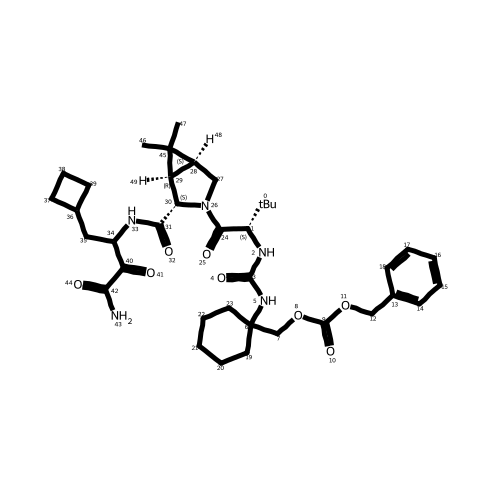 CC(C)(C)[C@H](NC(=O)NC1(COC(=O)OCc2ccccc2)CCCCC1)C(=O)N1C[C@H]2[C@@H]([C@H]1C(=O)NC(CC1CCC1)C(=O)C(N)=O)C2(C)C